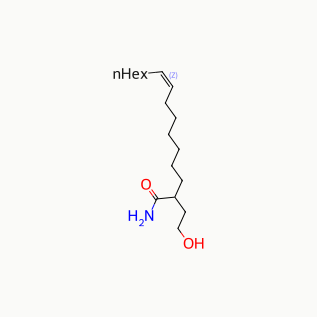 CCCCCC/C=C\CCCCCCC(CCO)C(N)=O